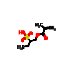 C=C(C)C(=O)OCC(CC)S(=O)(=O)O